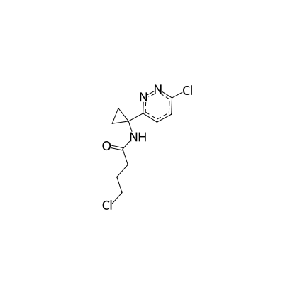 O=C(CCCCl)NC1(c2ccc(Cl)nn2)CC1